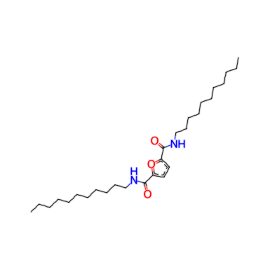 CCCCCCCCCCCNC(=O)c1ccc(C(=O)NCCCCCCCCCCC)o1